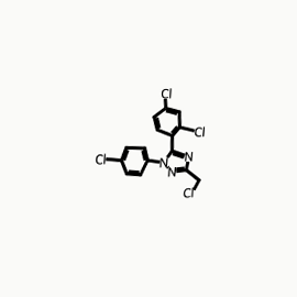 ClCc1nc(-c2ccc(Cl)cc2Cl)n(-c2ccc(Cl)cc2)n1